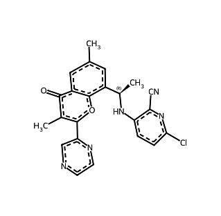 Cc1cc([C@@H](C)Nc2ccc(Cl)nc2C#N)c2oc(-c3cnccn3)c(C)c(=O)c2c1